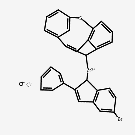 Brc1ccc2c(c1)C=C(c1ccccc1)[CH]2[Zr+2][CH]1C2=Cc3c(cccc31)Sc1cccc2c1.[Cl-].[Cl-]